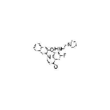 O=c1ccn2c3c(c(NCCN4CCCC4)c(F)cc13)Oc1cc3ccccc3cc1-2